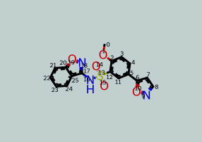 COc1ccc(-c2ccno2)cc1S(=O)(=O)Nc1noc2ccccc12